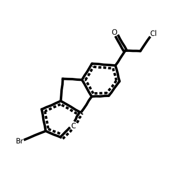 O=C(CCl)c1ccc2c(c1)Cc1cc(Br)ccc1-2